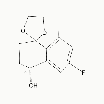 Cc1cc(F)cc2c1C1(CC[C@H]2O)OCCO1